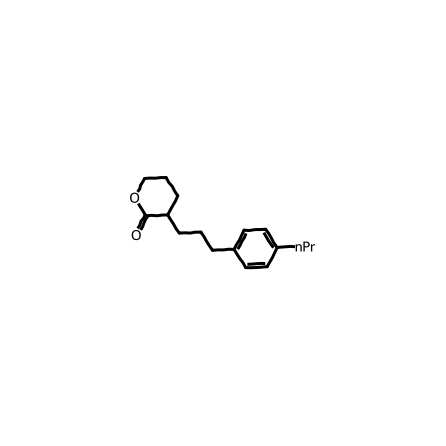 CCCc1ccc(CCCC2CCCOC2=O)cc1